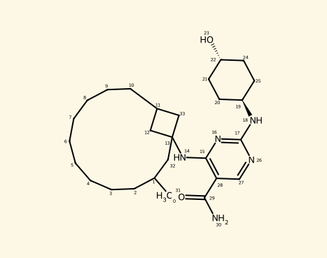 CC1CCCCCCCCCC2CC(Nc3nc(N[C@H]4CC[C@H](O)CC4)ncc3C(N)=O)(C1)C2